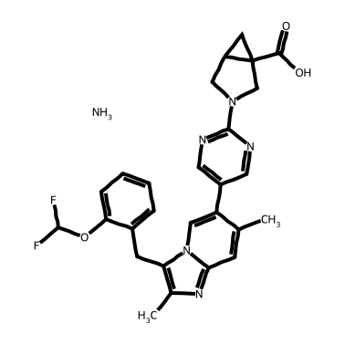 Cc1cc2nc(C)c(Cc3ccccc3OC(F)F)n2cc1-c1cnc(N2CC3CC3(C(=O)O)C2)nc1.N